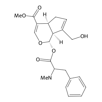 CNC(Cc1ccccc1)C(=O)O[C@@H]1OC=C(C(=O)OC)[C@H]2CC=C(CO)[C@@H]12